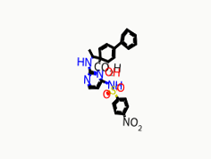 CC(Nc1nccc(NS(=O)(=O)c2ccc([N+](=O)[O-])cc2)n1)C1(C(=O)O)C=CC(c2ccccc2)=C[C@@H]1O